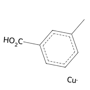 Cc1cccc(C(=O)O)c1.[Cu]